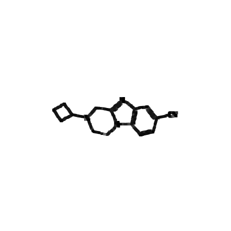 N#Cc1ccc2c(c1)nc1n2CCN(C2CCC2)C1